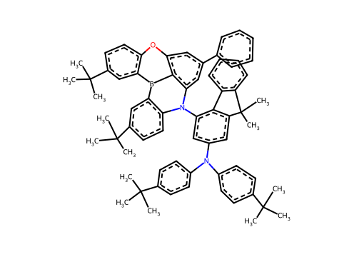 CC(C)(C)c1ccc(N(c2ccc(C(C)(C)C)cc2)c2cc(N3c4ccc(C(C)(C)C)cc4B4c5cc(C(C)(C)C)ccc5Oc5cc(-c6ccccc6)cc3c54)c3c(c2)C(C)(C)c2ccccc2-3)cc1